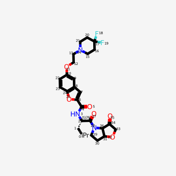 CC(C)C[C@H](NC(=O)c1cc2cc(OCCN3CCC(F)(F)CC3)ccc2o1)C(=O)N1CCC2OCC(=O)C21